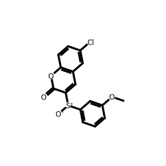 COc1cccc([S+]([O-])c2cc3cc(Cl)ccc3oc2=O)c1